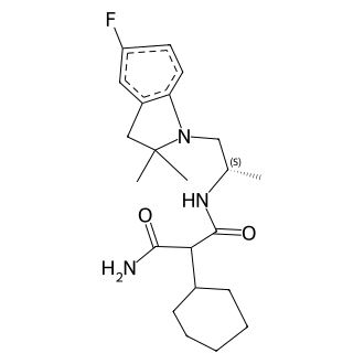 C[C@@H](CN1c2ccc(F)cc2CC1(C)C)NC(=O)C(C(N)=O)C1CCCCC1